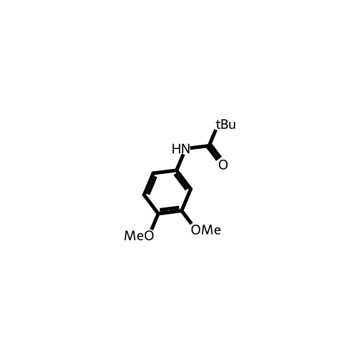 COc1ccc(NC(=O)C(C)(C)C)cc1OC